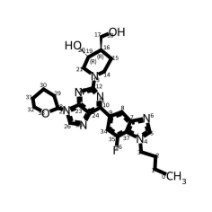 CCCCn1cnc2cc(-c3nc(N4CC[C@H](CO)[C@@H](O)C4)nc4c3ncn4C3CCCCO3)cc(F)c21